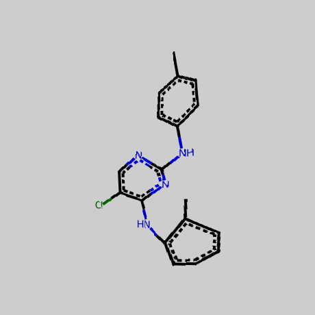 Cc1ccc(Nc2ncc(Cl)c(Nc3ccccc3C)n2)cc1